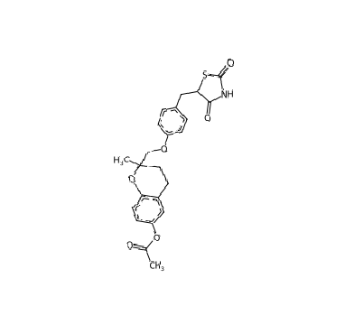 CC(=O)Oc1ccc2c(c1)CCC(C)(COc1ccc(CC3SC(=O)NC3=O)cc1)O2